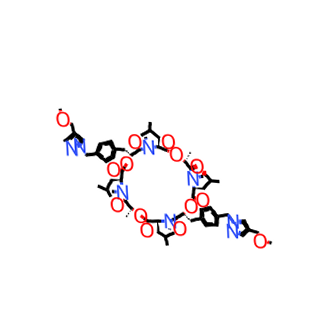 COCc1cnn(Cc2ccc(C[C@H]3OC(=O)[C@H](CC(C)C)N(C)C(=O)[C@@H](C)OC(=O)[C@H](CC(C)C)N(C)C(=O)[C@@H](Cc4ccc(Cn5cc(COC)cn5)cc4)OC(=O)[C@H](CC(C)C)N(C)C(=O)[C@@H](C)OC(=O)[C@H](CC(C)C)N(C)C3=O)cc2)c1